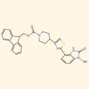 CC(C)n1c(=O)[nH]c2c(-c3nc(C4CCN(C(=O)OCC5c6ccccc6-c6ccccc65)CC4)cs3)cccc21